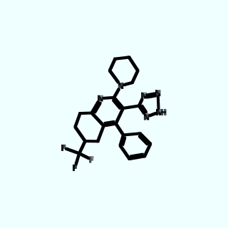 FC(F)(F)C1CCc2nc(N3CCCCC3)c(-c3nn[nH]n3)c(-c3ccccc3)c2C1